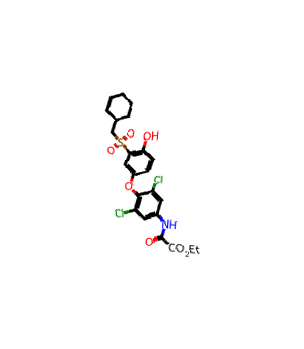 CCOC(=O)C(=O)Nc1cc(Cl)c(Oc2ccc(O)c(S(=O)(=O)CC3CCCCC3)c2)c(Cl)c1